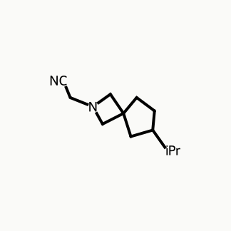 CC(C)C1CCC2(C1)CN(CC#N)C2